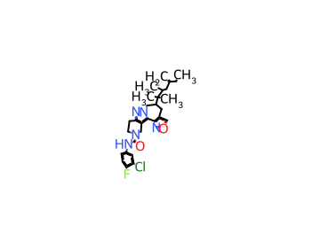 C=C(CC)CC(C)C(C)(C)C1Cc2conc2-c2c3c(nn2C1)CCN(C(=O)Nc1ccc(F)c(Cl)c1)C3